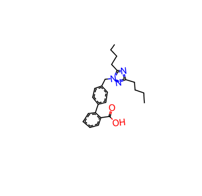 CCCCc1nc(CCCC)n(Cc2ccc(-c3ccccc3C(=O)O)cc2)n1